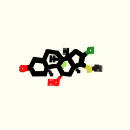 CCSC1=C(Cl)C[C@H]2[C@@H]3CCC4=CC(=O)C=C[C@]4(C)C3(F)[C@@H](O)C[C@]12C